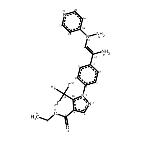 CCOC(=O)c1cnn(-c2ccc(/C(N)=C/N(N)c3ccncc3)cc2)c1C(F)(F)F